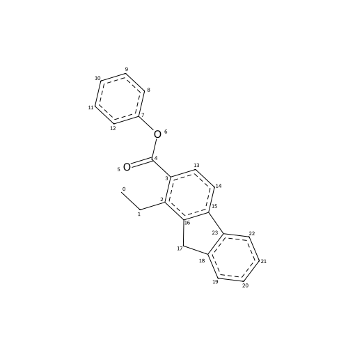 CCc1c(C(=O)Oc2ccccc2)ccc2c1Cc1ccccc1-2